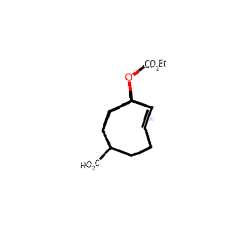 CCOC(=O)OC1/C=C/CCC(C(=O)O)CC1